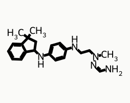 CN(CCNc1ccc(NC2CC(C)(C)c3ccccc32)cc1)/N=C\N